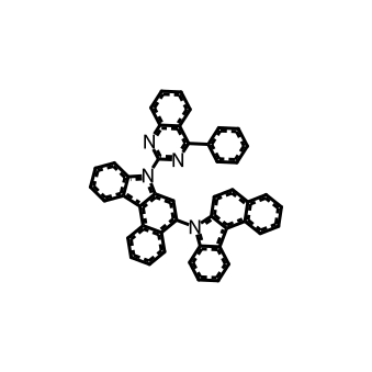 c1ccc(-c2nc(-n3c4ccccc4c4c5ccccc5c(-n5c6ccccc6c6c7ccccc7ccc65)cc43)nc3ccccc23)cc1